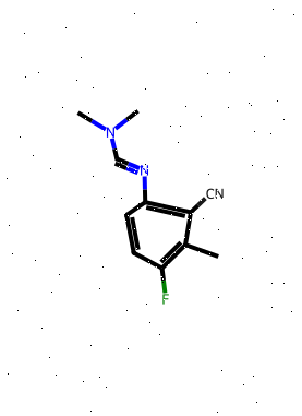 Cc1c(F)ccc(/N=C/N(C)C)c1C#N